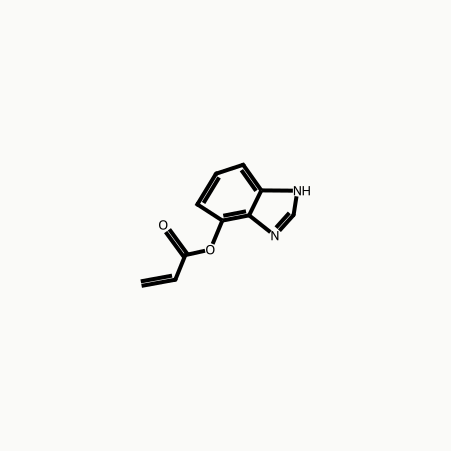 C=CC(=O)Oc1cccc2[nH]cnc12